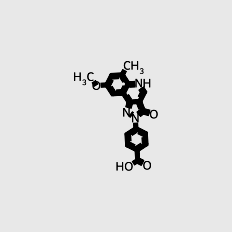 COc1cc(C)c2[nH]cc3c(=O)n(-c4ccc(C(=O)O)cc4)nc-3c2c1